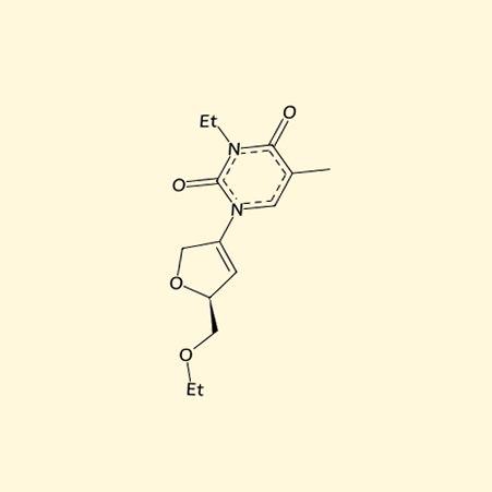 CCOC[C@@H]1C=C(n2cc(C)c(=O)n(CC)c2=O)CO1